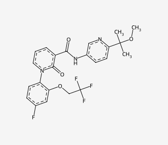 COC(C)(C)c1ccc(NC(=O)c2cccn(-c3ccc(F)cc3OCC(F)(F)F)c2=O)cn1